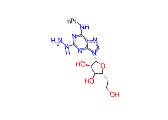 CCCNc1nc(NN)nc2c1ncn2[C@@H]1O[C@H](CCO)[C@@H](O)[C@H]1O